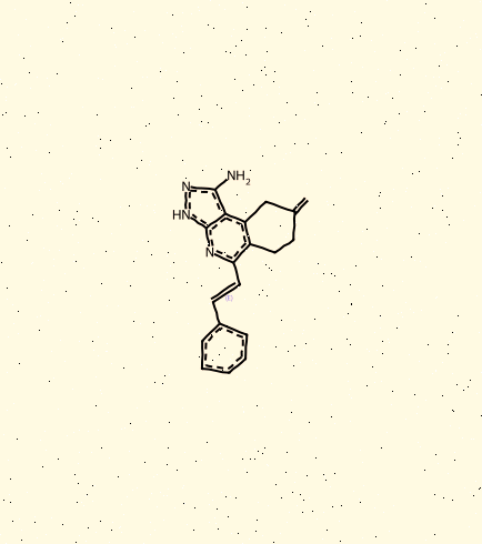 C=C1CCc2c(/C=C/c3ccccc3)nc3[nH]nc(N)c3c2C1